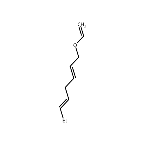 C=COCC=CCC=CCC